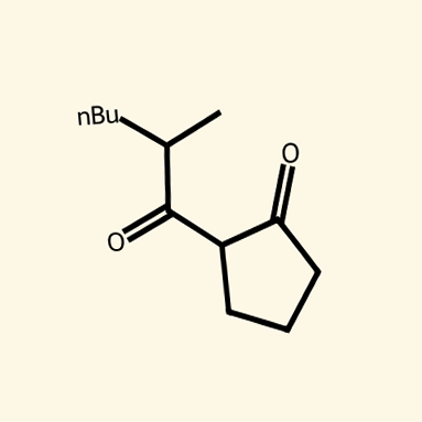 CCCCC(C)C(=O)C1CCCC1=O